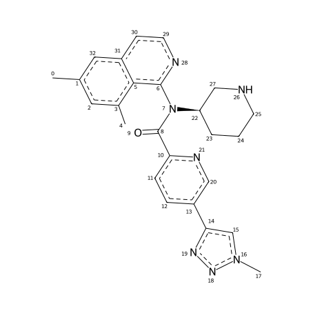 Cc1cc(C)c2c(N(C(=O)c3ccc(-c4cn(C)nn4)cn3)[C@@H]3CCCNC3)nccc2c1